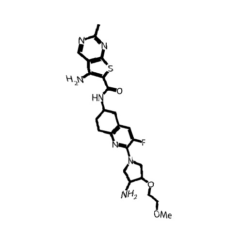 COCCOC1CN(c2nc3c(cc2F)CC(NC(=O)c2sc4nc(C)ncc4c2N)CC3)CC1N